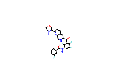 O=C(Nc1cc(F)c(F)c(C(=O)c2cc3ccc(C4COCCN4)nc3cn2)c1F)c1cccc(F)c1